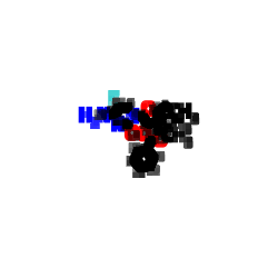 CCC1OC(n2cc(F)c(N)nc2=O)C(OC(=O)c2ccccc2)C1(C)CC